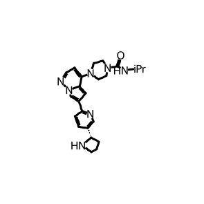 CC(C)NC(=O)N1CCN(c2ccnn3cc(-c4ccc([C@@H]5CCCN5)cn4)cc23)CC1